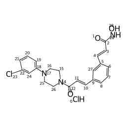 Cl.O=C(C=Cc1cccc(C=CC(=O)N2CCN(c3cccc(Cl)c3)CC2)c1)NO